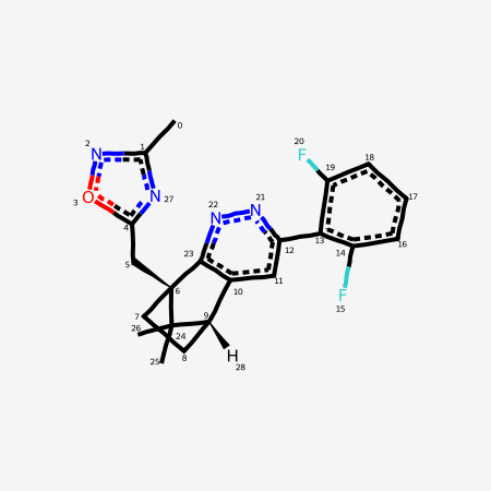 Cc1noc(C[C@@]23CC[C@@H](c4cc(-c5c(F)cccc5F)nnc42)C3(C)C)n1